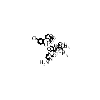 CC(C)(C)[Si](C)(C)O[C@@H]1[C@@H](CO[P@]2(=O)OCC[C@H](c3cc(Cl)ccc3Cl)O2)O[C@@H](n2ccc(N)nc2=O)C1(F)F